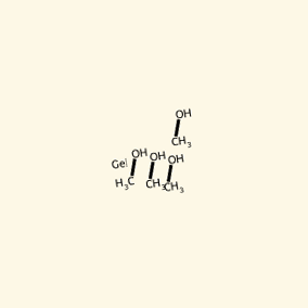 CO.CO.CO.CO.[Ge]